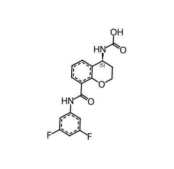 O=C(O)N[C@H]1CCOc2c(C(=O)Nc3cc(F)cc(F)c3)cccc21